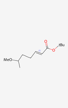 COC(C)CC/C=C/C(=O)OC(C)(C)C